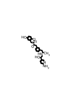 CCN(Cc1cc(O)ccc1Cl)C(=O)Cc1cccc(C[C@@H](C)NC[C@@H](O)c2ccc(N)nc2)c1